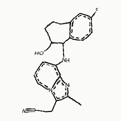 Cc1nc2c(NC3c4ccc(F)cc4CCC3O)cccn2c1CC#N